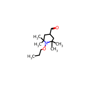 CCCON1C(C)(C)CC(C=O)CC1(C)C